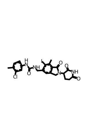 Cc1ccc(NC(=O)NCc2cc3c(c(C)c2I)C(=O)N(C2CCC(=O)NC2=O)C3)cc1Cl